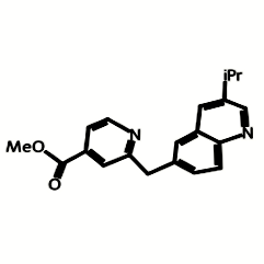 COC(=O)c1ccnc(Cc2ccc3ncc(C(C)C)cc3c2)c1